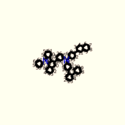 C1=C(c2ccc3ccccc3c2)CCC(N(c2ccc(-c3ccccc3-c3ccccc3)cc2)c2cccc(-c3cc4ccccc4c4c3c3ccccc3n4-c3ccccc3)c2)=C1